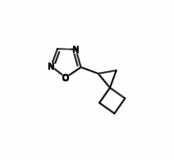 c1noc(C2CC23CCC3)n1